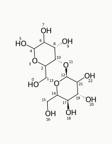 OCC1OC(O)C(O)[C@H](O)[C@@H]1O[C@@H]1OC(CO)[C@H](O)[C@@H](O)C1O